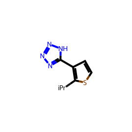 CC(C)c1sccc1-c1nnn[nH]1